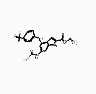 CCOC(=O)c1cc2c(Nc3ccc(C(F)(F)F)cc3)cc(NC(C)=O)cc2[nH]1